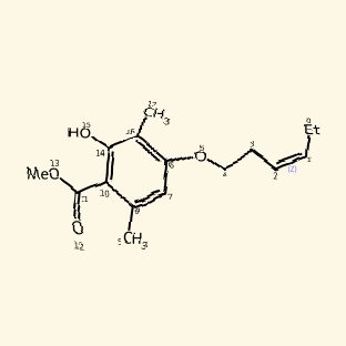 CC/C=C\CCOc1cc(C)c(C(=O)OC)c(O)c1C